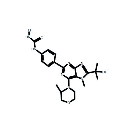 CCNC(=O)Nc1ccc(-c2nc(N3CCOCC3C)c3c(n2)nc(C(C)(C)O)n3C)cc1